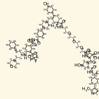 Cc1ncsc1-c1ccc([C@H](C)NC(=O)[C@@H]2C[C@@H](O)CN2C(=O)[C@@H](NC(=O)COCCOCCOCCNC(=O)C2(C)CCC(c3ccc(Cl)cc3)=C(CN3CCN(c4ccc(C(=O)NS(=O)(=O)c5ccc(N[C@H](CCN6CCOCC6)CSc6ccccc6)c(S(=O)(=O)C(F)(F)F)c5)cc4)CC3)C2)C(C)(C)C)cc1